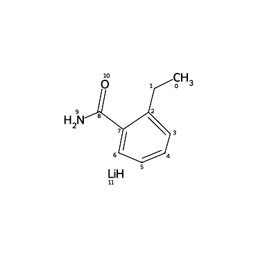 CCc1ccccc1C(N)=O.[LiH]